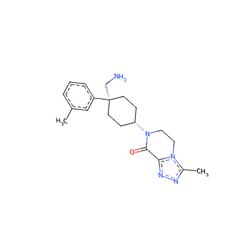 Cc1cccc([C@]2(CN)CC[C@@H](N3CCn4c(C)nnc4C3=O)CC2)c1